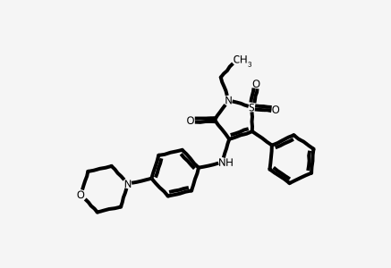 CCN1C(=O)C(Nc2ccc(N3CCOCC3)cc2)=C(c2ccccc2)S1(=O)=O